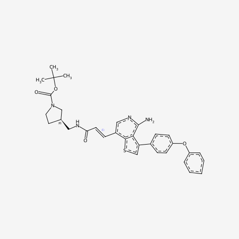 CC(C)(C)OC(=O)N1CC[C@H](CNC(=O)/C=C/c2cnc(N)c3c(-c4ccc(Oc5ccccc5)cc4)csc23)C1